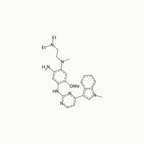 CCN(CC)CCN(C)c1cc(OC)c(Nc2nccc(-c3cn(C)c4ccccc34)n2)cc1N